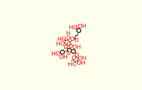 CC1O[C@@H](Oc2cc(O)c3c(=O)c(O[C@@H]4OC(COC(=O)/C=C/c5ccc(O)c(O)c5)[C@@H](O)C(O)[C@@H]4O)c(-c4ccc(O)c(O)c4)oc3c2)[C@@H](O)C(O)[C@H]1O